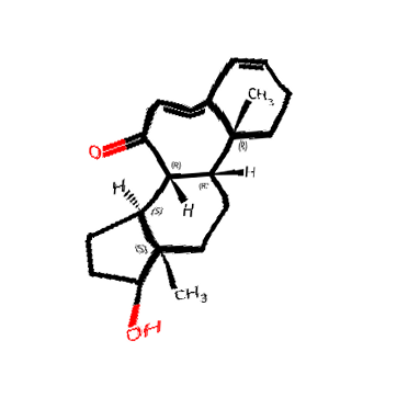 C[C@]12CCC=CC1=CC(=O)[C@@H]1[C@H]2CC[C@]2(C)C(O)CC[C@@H]12